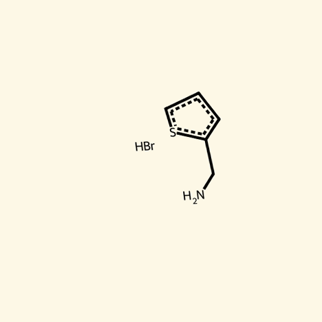 Br.NCc1cccs1